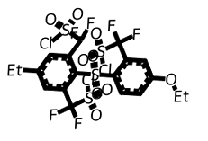 CCOc1ccc(S(=O)(=O)c2c(C(F)(F)S(=O)(=O)Cl)cc(CC)cc2C(F)(F)S(=O)(=O)Cl)c(C(F)(F)S(=O)(=O)Cl)c1